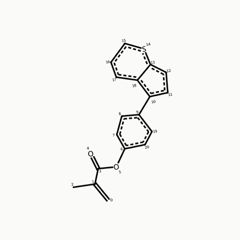 C=C(C)C(=O)Oc1ccc(-c2ccc3scccc2-3)cc1